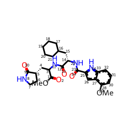 COC(=O)C(C[C@@H]1CCNC1=O)NC(=O)[C@H](CC1CCCCC1)NC(=O)c1cc2c(OC)cccc2[nH]1